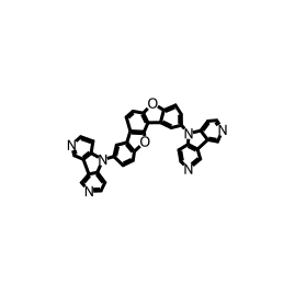 c1cc2c(cn1)c1cnccc1n2-c1ccc2oc3c(ccc4oc5ccc(-n6c7ccncc7c7cnccc76)cc5c43)c2c1